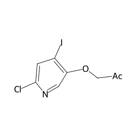 CC(=O)COc1cnc(Cl)cc1I